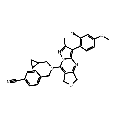 COc1ccc(-c2c(C)nn3c(N(Cc4ccc(C#N)cc4)CC4CC4)c4c(nc23)COC4)c(Cl)c1